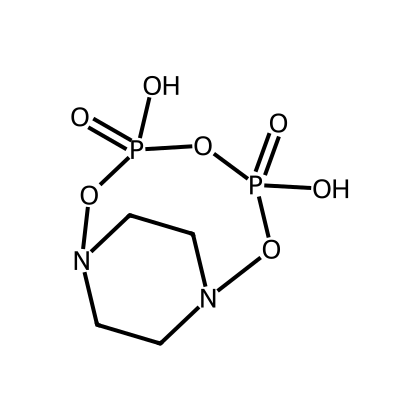 O=P1(O)ON2CCN(CC2)OP(=O)(O)O1